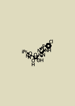 CC(C)c1nnc([C@H]2O[C@@H](n3cnc4c(Nc5ccc(Cl)cc5F)ncnc43)[C@H](O)[C@@H]2O)o1